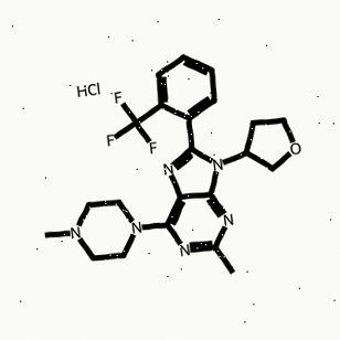 Cc1nc(N2CCN(C)CC2)c2nc(-c3ccccc3C(F)(F)F)n(C3CCOC3)c2n1.Cl